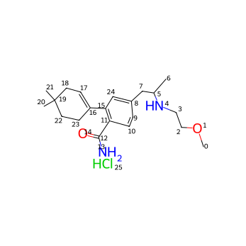 COCCNC(C)Cc1ccc(C(N)=O)c(C2=CCC(C)(C)CC2)c1.Cl